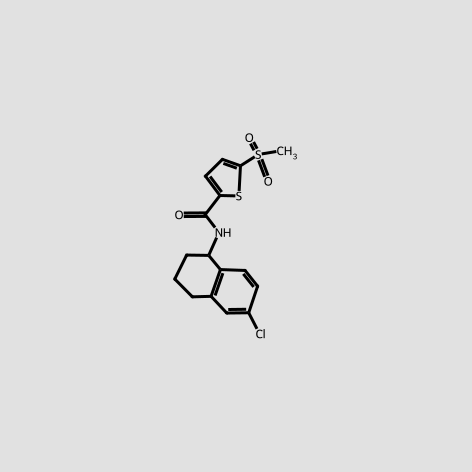 CS(=O)(=O)c1ccc(C(=O)NC2CCCc3cc(Cl)ccc32)s1